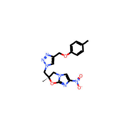 Cc1ccc(OCc2cn(C[C@@]3(C)Cn4cc([N+](=O)[O-])nc4O3)nn2)cc1